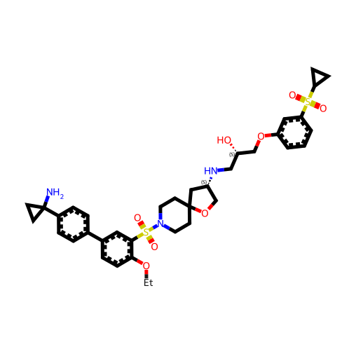 CCOc1ccc(-c2ccc(C3(N)CC3)cc2)cc1S(=O)(=O)N1CCC2(CC1)C[C@H](NC[C@H](O)COc1cccc(S(=O)(=O)C3CC3)c1)CO2